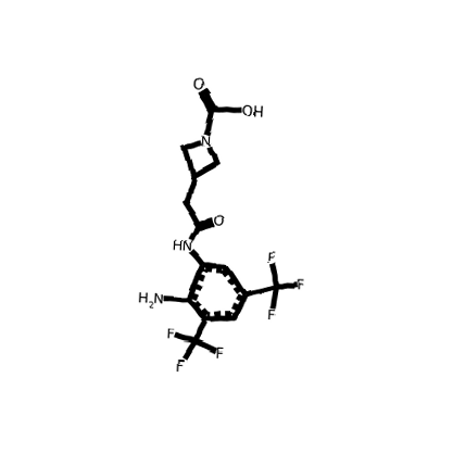 Nc1c(NC(=O)CC2CN(C(=O)O)C2)cc(C(F)(F)F)cc1C(F)(F)F